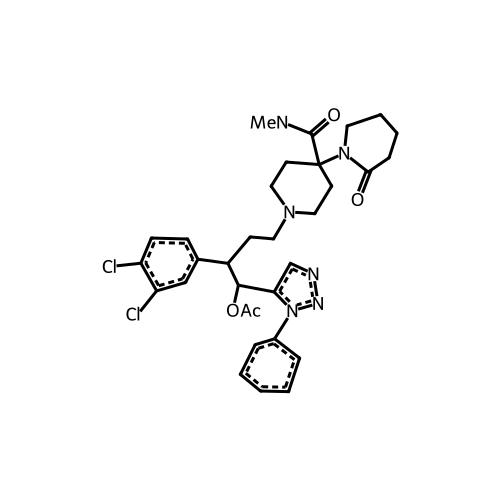 CNC(=O)C1(N2CCCCC2=O)CCN(CCC(c2ccc(Cl)c(Cl)c2)C(OC(C)=O)c2cnnn2-c2ccccc2)CC1